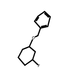 F[C]1CCCC(OCc2ccccc2)C1